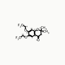 CC1(C)CC(=O)c2cc(OCC(F)(F)F)c(OCC(F)(F)F)cc2O1